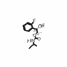 CC(C)NC(=O)O[C@@H](C)[C@@H](O)c1ccccc1F